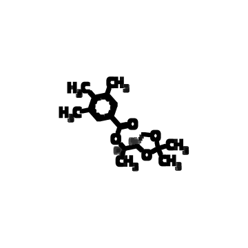 Cc1cc(C(=O)O[C@H](C)[C@@H]2COC(C)(C)O2)cc(C)c1C